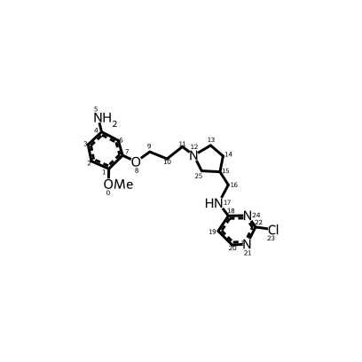 COc1ccc(N)cc1OCCCN1CCC(CNc2ccnc(Cl)n2)C1